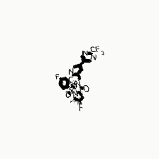 C[C@H]1[C@H](F)C[C@@H](C(=O)NCc2cc(-c3cnc(C(F)(F)F)nc3)cnc2C(F)(F)F)N1S(=O)(=O)c1ccc(F)cc1